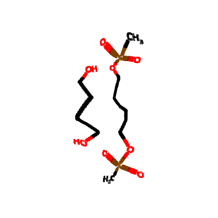 CS(=O)(=O)OCCCCOS(C)(=O)=O.OCCCCO